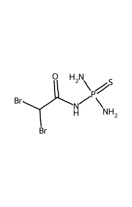 NP(N)(=S)NC(=O)C(Br)Br